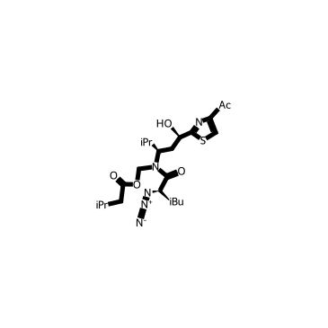 CC[C@H](C)[C@H](N=[N+]=[N-])C(=O)N(COC(=O)CC(C)C)[C@H](C[C@@H](O)c1nc(C(C)=O)cs1)C(C)C